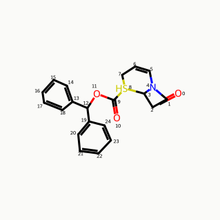 O=C1CC2N1C=CC[SH]2C(=O)OC(c1ccccc1)c1ccccc1